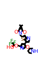 Cc1cc(-c2ccnc3cc(CN4C(=O)C5C(C4=O)C5(C)C)sc23)c(O[C@H]2CCCNC2)cn1.O=C(O)C(F)(F)F